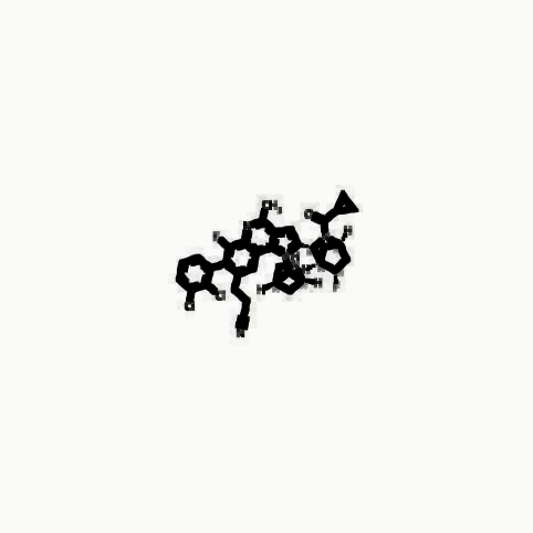 Cc1nc2c(F)c(-c3cccc(Cl)c3Cl)c(CCC#N)cc2c2c1cc([C@H]1[C@H]3C[C@H](C[C@@H]3F)N1C(=O)C1CC1)n2C1[C@H]2CN[C@@H]1C2